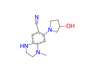 CN1CCNc2cc(C#N)c(N3CCC(O)C3)cc21